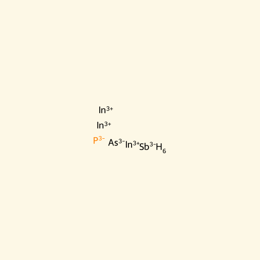 [As-3].[In+3].[In+3].[In+3].[P-3].[SbH6-3]